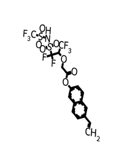 C=Cc1ccc2cc(OC(=O)COC(C(F)(F)F)C(F)(F)S(=O)(=O)NS(=O)(=O)C(F)(F)F)ccc2c1